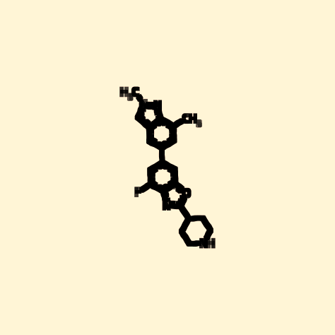 Cc1cc(-c2cc(F)c3nc(C4CCNCC4)oc3c2)cc2cn(C)nc12